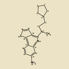 CN(CCN1CCCC1)c1nc2cc(N)ccc2c2sccc12